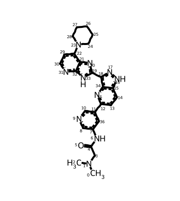 CN(C)CC(=O)Nc1cncc(-c2ccc3[nH]nc(-c4nc5c(N6CCCCC6)ccnc5[nH]4)c3n2)c1